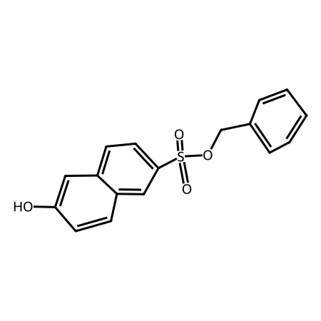 O=S(=O)(OCc1ccccc1)c1ccc2cc(O)ccc2c1